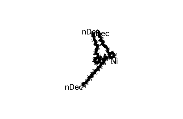 CCCCCCCCCCCCCCCCC#CCCc1ccccc1N=CC(C=CCCCCCCCCCCCCCCCCCCCCCCC)=Nc1ccccc1CCC#CCCCCCCCCCCCCCCCC.[Ni]